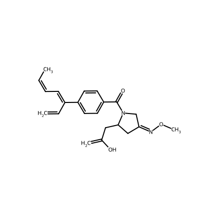 C=C/C(=C\C=C/C)c1ccc(C(=O)N2C/C(=N\OC)CC2CC(=C)O)cc1